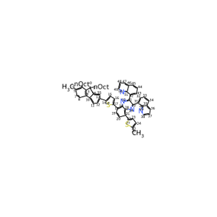 CCCCCCCCC1(CCCCCCCC)c2cc(C)ccc2-c2ccc(-c3ccc(-c4ccc(-c5ccc(C)s5)c5nc(-c6cccc7cccnc67)c(-c6cccc7cccnc67)nc45)s3)cc21